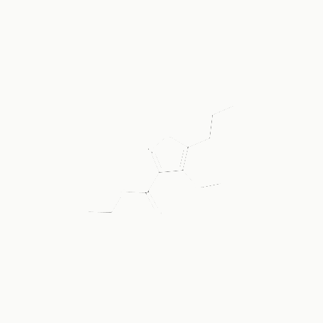 CCCc1snc(C(=O)OCC)c1OC